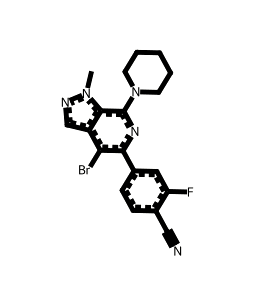 Cn1ncc2c(Br)c(-c3ccc(C#N)c(F)c3)nc(N3CCCCC3)c21